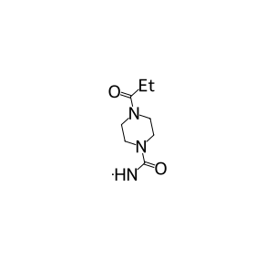 CCC(=O)N1CCN(C([NH])=O)CC1